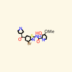 COc1ccnc(C(=O)Nc2nc3c(Br)cc(C(=O)c4ccncc4)cc3s2)c1O